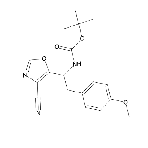 COc1ccc(CC(NC(=O)OC(C)(C)C)c2ocnc2C#N)cc1